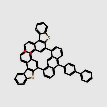 c1ccc(-c2ccc(-c3c4cccc(-c5cc6ccccc6c6c5sc5ccccc56)c4cc4c(-c5cc6ccccc6c6c5sc5ccccc56)cccc34)cc2)cc1